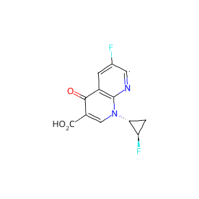 O=C(O)c1cn([C@@H]2C[C@H]2F)c2n[c]c(F)cc2c1=O